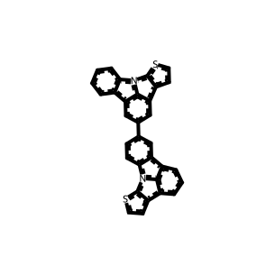 c1ccc2c(c1)c1cc(-c3ccc4c(c3)c3cccc5c6ccsc6n4c35)cc3c4ccsc4n2c13